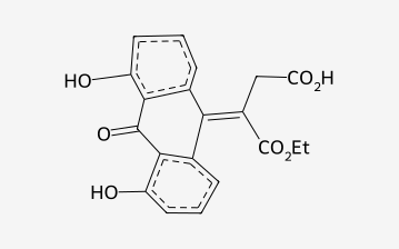 CCOC(=O)C(CC(=O)O)=C1c2cccc(O)c2C(=O)c2c(O)cccc21